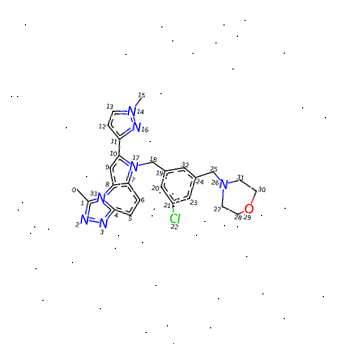 Cc1nnc2ccc3c(cc(-c4ccn(C)n4)n3Cc3cc(Cl)cc(CN4CCOCC4)c3)n12